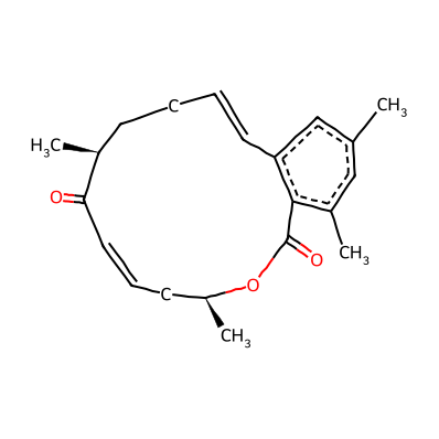 Cc1cc(C)c2c(c1)/C=C/CC[C@H](C)C(=O)/C=C\C[C@H](C)OC2=O